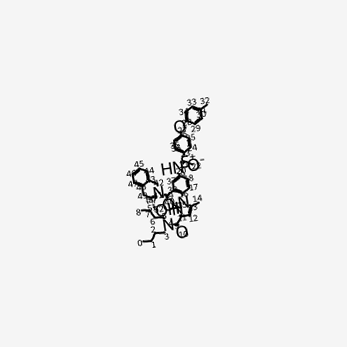 CCCCN(CCCC)C(=O)c1cc(C)n(-c2ccc(N[S+]([O-])c3ccc(Oc4ccc(C)cc4)cc3)cc2C(=O)N2Cc3ccccc3C[C@H]2CO)n1